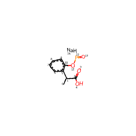 CC(C(=O)O)c1ccccc1OP=O.[NaH]